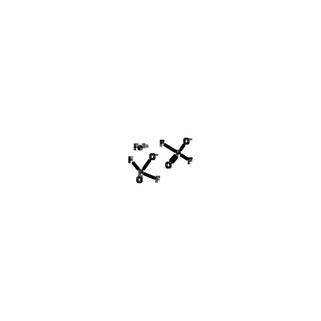 O=P([O-])(F)F.O=P([O-])(F)F.[Fe+2]